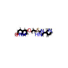 O=C1CCc2cc(OCCCSc3nc(-c4cccnc4)c[nH]3)ccc2N1